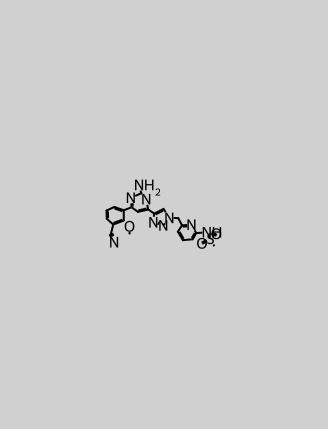 COc1c(C#N)cccc1-c1cc(-c2cn(Cc3cccc(NS(C)(=O)=O)n3)nn2)nc(N)n1